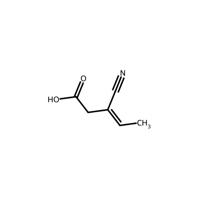 CC=C(C#N)CC(=O)O